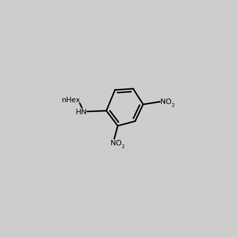 [CH2]CCCCCNc1ccc([N+](=O)[O-])cc1[N+](=O)[O-]